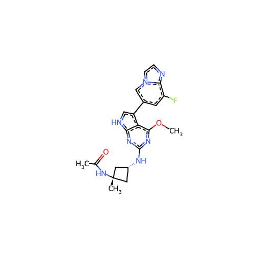 COc1nc(N[C@H]2C[C@@](C)(NC(C)=O)C2)nc2[nH]cc(-c3cc(F)c4nccn4c3)c12